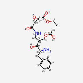 CCOC(=O)[C@H]1O[C@@H]1C(=O)NC[C@@H](COC(C)=O)C(=O)[C@@H](N)Cc1ccccc1